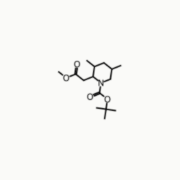 COC(=O)CC1C(C)CC(C)CN1C(=O)OC(C)(C)C